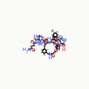 CONC(=O)[C@@H](NC(=O)[C@@H]1[C@@H]2CCN1C(=O)[C@H](Cc1cn(C)c3ccc(F)cc13)NC(=O)[C@@H](NC(=O)[C@@H](CN)NC(=O)[C@H](C)NC(=O)CCC(N)=O)Cc1cccc(c1)CNC(=O)CO2)[C@@H](C)O